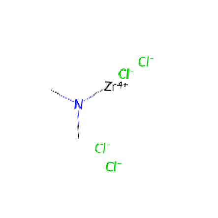 C[N](C)[Zr+4].[Cl-].[Cl-].[Cl-].[Cl-]